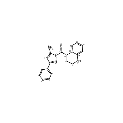 Nc1nc(-c2ccncc2)nn1C(=O)[C@@H]1CCNc2ccccc21